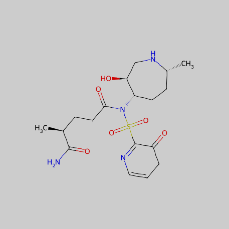 C[C@@H]1CC[C@H](N(C(=O)[CH]C[C@H](C)C(N)=O)S(=O)(=O)C2=NC=CCC2=O)[C@@H](O)CN1